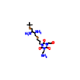 CC(C)(C)SCC(N)C(N)CSCCCn1c(=O)n(CC=O)c(=O)n(CCN)c1=O